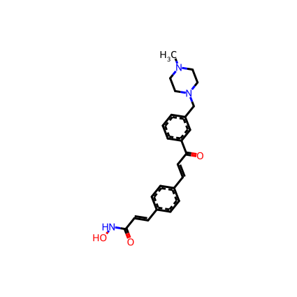 CN1CCN(Cc2cccc(C(=O)C=Cc3ccc(C=CC(=O)NO)cc3)c2)CC1